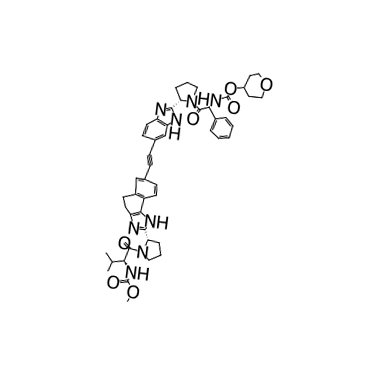 COC(=O)N[C@H](C(=O)N1CCC[C@H]1c1nc2c([nH]1)-c1ccc(C#Cc3ccc4nc([C@@H]5CCCN5C(=O)[C@H](NC(=O)OC5CCOCC5)c5ccccc5)[nH]c4c3)cc1CC2)C(C)C